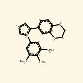 COc1cc(-n2nncc2-c2ccc3c(c2)OCCO3)cc(OC)c1OC